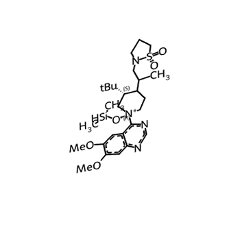 COc1cc2ncnc([N@@+]3(O[SiH](C)C)CCC(C(C)CN4CCCS4(=O)=O)[C@@H](C(C)(C)C)C3)c2cc1OC